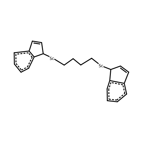 C1=C[CH]([Sc][CH2]CC[CH2][Sc][CH]2C=Cc3ccccc32)c2ccccc21